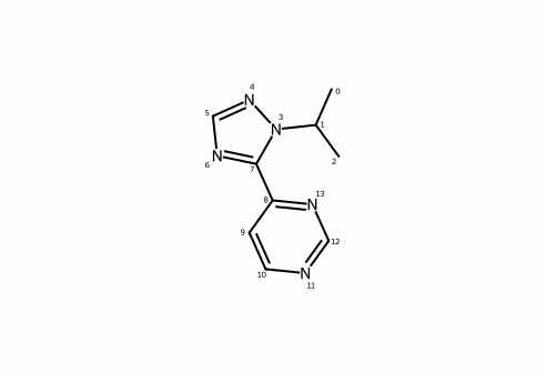 CC(C)n1ncnc1-c1ccncn1